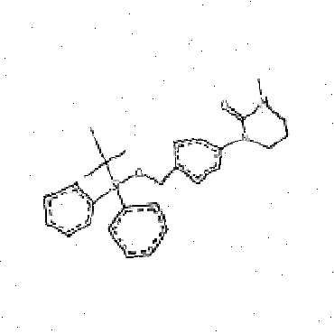 CN1CCCN(c2ccc(CO[Si](c3ccccc3)(c3ccccc3)C(C)(C)C)cc2)C1=O